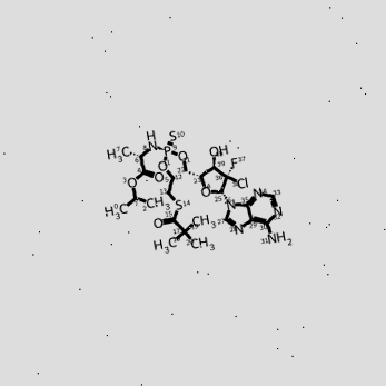 CC(C)OC(=O)[C@H](C)N[P@](=S)(OCCSC(=O)C(C)(C)C)OC[C@H]1O[C@@H](n2cnc3c(N)ncnc32)[C@](F)(Cl)[C@@H]1O